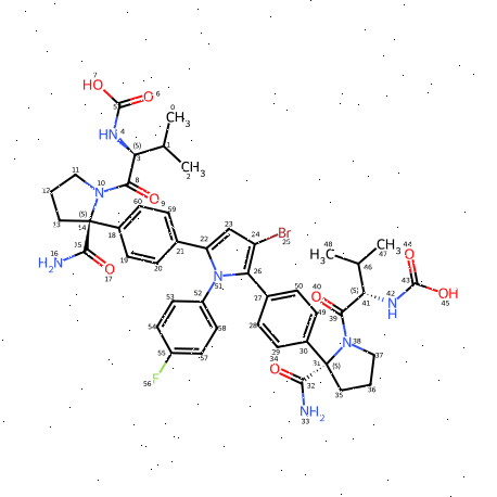 CC(C)[C@H](NC(=O)O)C(=O)N1CCC[C@@]1(C(N)=O)c1ccc(-c2cc(Br)c(-c3ccc([C@]4(C(N)=O)CCCN4C(=O)[C@@H](NC(=O)O)C(C)C)cc3)n2-c2ccc(F)cc2)cc1